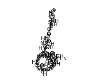 CC1=CC2C(=O)NCCN(CCNC(O)C3=C(O)C(C(=O)NCCOCCOCCNC(=S)NC4CCC(N=C=S)CC4)CC=C3)CCN3CCNC(=O)c4cccc(c4O)C(=O)NCCN(CCNC(=O)C(=C1)C2O)CCNC(=O)c1cccc(c1O)C(=O)NCC3